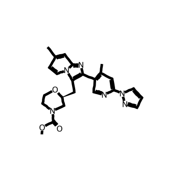 COC(=O)N1CCO[C@@H](Cc2c(-c3cnc(-n4cccn4)cc3C)nc3cc(C)ccn23)C1